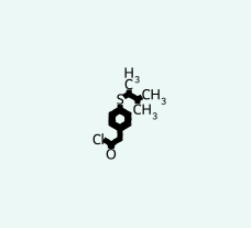 CC(C)C(C)Sc1ccc(CC(=O)Cl)cc1